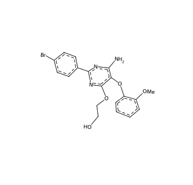 COc1ccccc1Oc1c(N)nc(-c2ccc(Br)cc2)nc1OCCO